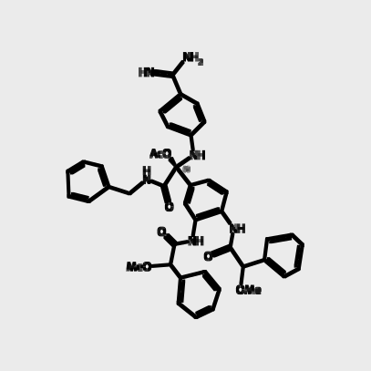 COC(C(=O)Nc1ccc([C@](Nc2ccc(C(=N)N)cc2)(OC(C)=O)C(=O)NCc2ccccc2)cc1NC(=O)C(OC)c1ccccc1)c1ccccc1